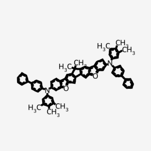 Cc1cc(N(c2ccc(-c3ccccc3)cc2)c2ccc3c(c2)oc2cc4c(cc23)C(C)(C)c2cc3c(cc2-4)oc2cc(N(c4ccc(-c5ccccc5)cc4)c4cc(C)c(C)c(C)c4)ccc23)cc(C)c1C